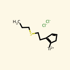 CCCSCCC1=[C]([Ti+2])CC=C1.[Cl-].[Cl-]